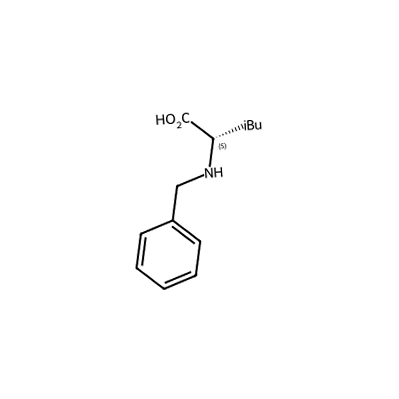 CCC(C)[C@H](NCc1ccccc1)C(=O)O